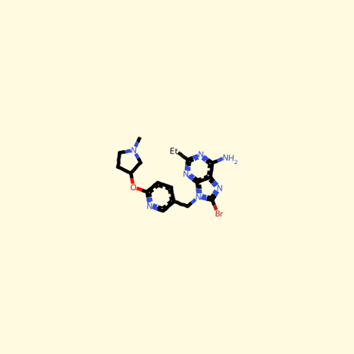 CCc1nc(N)c2nc(Br)n(Cc3ccc(OC4CCN(C)C4)nc3)c2n1